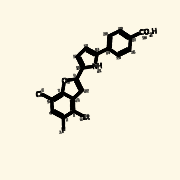 CCc1c(F)cc(Cl)c2oc(-c3ccc(-c4ccc(C(=O)O)cc4)[nH]3)cc12